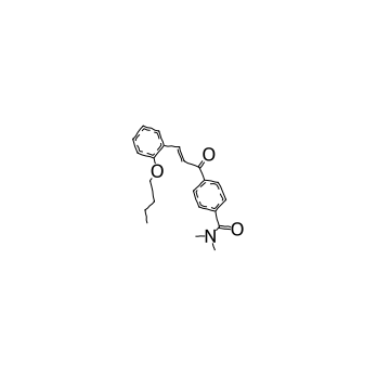 CCCCOc1ccccc1C=CC(=O)c1ccc(C(=O)N(C)C)cc1